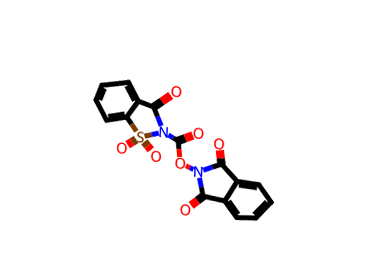 O=C1c2ccccc2C(=O)N1OC(=O)N1C(=O)c2ccccc2S1(=O)=O